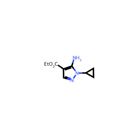 CCOC(=O)c1cnn(C2CC2)c1N